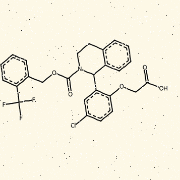 O=C(O)COc1ccc(Cl)cc1C1c2ccccc2CCN1C(=O)OCc1ccccc1C(F)(F)F